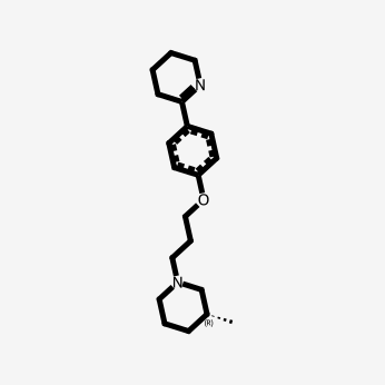 C[C@@H]1CCCN(CCCOc2ccc(C3=NCCCC3)cc2)C1